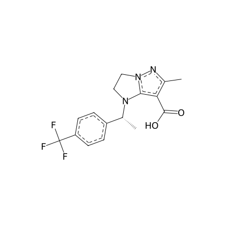 Cc1nn2c(c1C(=O)O)N([C@H](C)c1ccc(C(F)(F)F)cc1)CC2